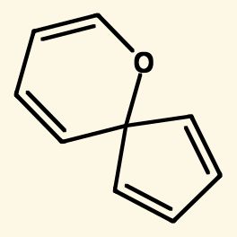 C1=COC2(C=C1)C=CC=C2